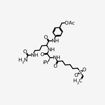 C=CS(=O)(=O)CCCCCC(=O)N[C@H](C(=O)NC(CCCNC(N)=O)C(=O)Nc1ccc(COC(C)=O)cc1)C(C)C